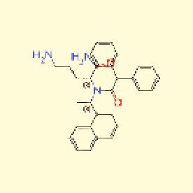 C[C@H](c1cccc2ccccc12)N(C(=O)C(c1ccccc1)c1ccccc1)[C@H](CCCN)C(N)=O